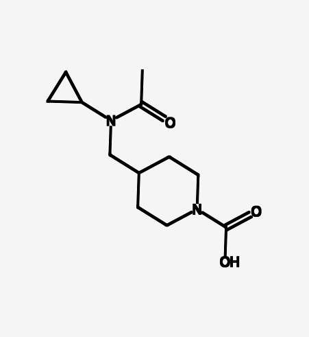 CC(=O)N(CC1CCN(C(=O)O)CC1)C1CC1